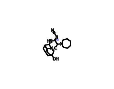 CC(/C(=N/C#N)NC1C2CC3CC1CC(O)(C3)C2)N1CCCCCC1